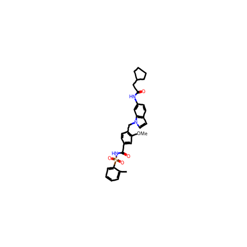 COc1cc(C(=O)NS(=O)(=O)c2ccccc2C)ccc1Cn1ccc2ccc(NC(=O)CC3CCCC3)cc21